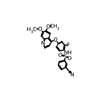 COc1cc2nccc(Oc3ccc(NS(=O)(=O)c4cccc(C#N)c4)c(F)c3)c2cc1OC